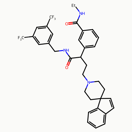 CCNC(=O)c1cccc(C(CCN2CCC3(C=Cc4ccccc43)CC2)C(=O)NCc2cc(C(F)(F)F)cc(C(F)(F)F)c2)c1